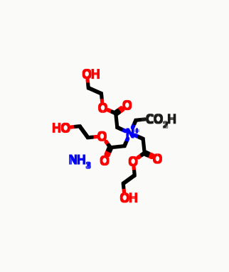 N.O=C(O)C[N+](CC(=O)OCCO)(CC(=O)OCCO)CC(=O)OCCO